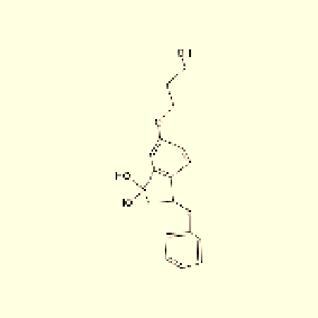 OCCCOc1ccc2c(c1)S(O)(O)CC2Sc1ccccc1